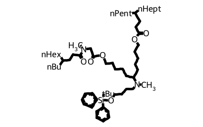 CCCCCCCC(CCCCC)CCC(=O)OCCCCCC(CCCCCOC(=O)CN(C)C(=O)CCC(CCCC)CCCCCC)N(C)CCCCO[Si](c1ccccc1)(c1ccccc1)C(C)(C)C